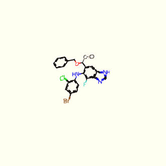 O=CC(OCc1ccccc1)c1cc2[nH]cnc2c(F)c1Nc1ccc(Br)cc1Cl